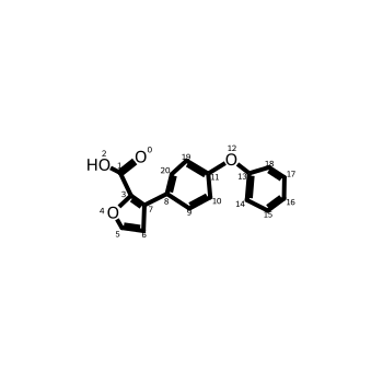 O=C(O)c1occc1-c1ccc(Oc2ccccc2)cc1